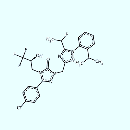 CC(C)c1ccccc1-n1nc(Cn2nc(-c3ccc(Cl)cc3)n(C[C@H](O)C(F)(F)F)c2=O)nc1C(C)F